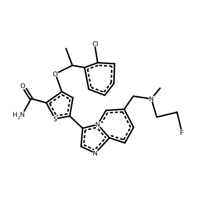 CC(Oc1cc(-c2cnc3ccc(CN(C)CCF)cn23)sc1C(N)=O)c1ccccc1Cl